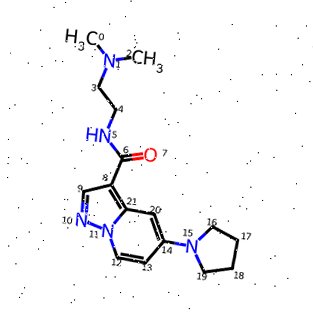 CN(C)CCNC(=O)c1cnn2ccc(N3CCCC3)cc12